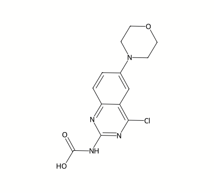 O=C(O)Nc1nc(Cl)c2cc(N3CCOCC3)ccc2n1